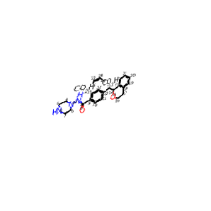 O=C(NN1CCNCC1)c1ccc(CC2OCCc3ccccc32)cc1.O=C(O)/C=C\C(=O)O